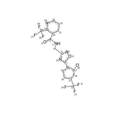 O=C(NCc1noc(-c2ccc(C(F)(F)F)cc2Cl)n1)c1cccnc1C(F)(F)F